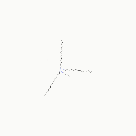 CCCCCCCCCCCCCCC[N+](CCCCC)(CCCCCCCCCCCCCCC)CCCCCCCCCCCCCCC.[I-]